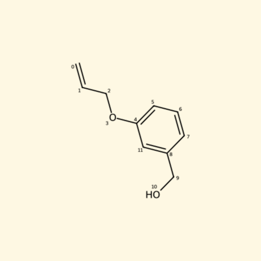 C=CCOc1cccc(CO)c1